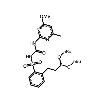 CCCCOP(CCc1ccccc1S(=O)(=O)NC(=O)Nc1nc(C)cc(OC)n1)OCCCC